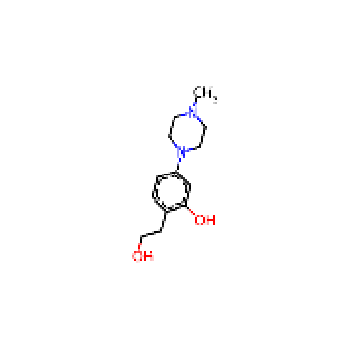 CN1CCN(c2ccc(CCO)c(O)c2)CC1